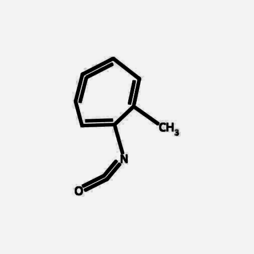 CC1=CC=C=CC=C1N=C=O